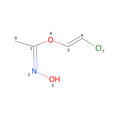 CC(=NO)OC=CCl